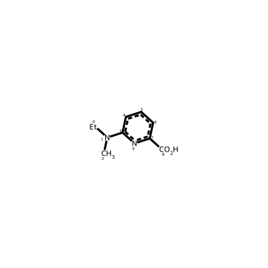 CCN(C)c1cccc(C(=O)O)n1